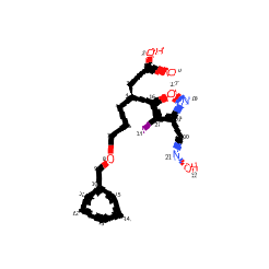 O=C(O)C[C@H](CCCOCc1ccccc1)c1onc(C=NO)c1I